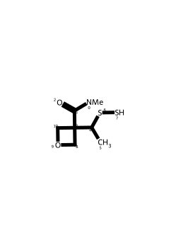 CNC(=O)C1(C(C)SS)COC1